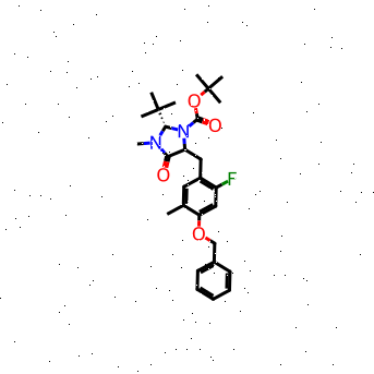 Cc1cc(CC2C(=O)N(C)[C@H](C(C)(C)C)N2C(=O)OC(C)(C)C)c(F)cc1OCc1ccccc1